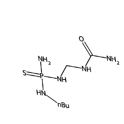 CCCCNP(N)(=S)NCNC(N)=O